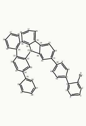 Brc1ccccc1-c1ccc(-c2ccc3c4ccccc4n(-c4cc(-c5ccccc5)ccc4-c4ccccc4)c3c2)cc1